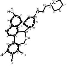 Oc1ccc2c3c(ccc2c1)-c1cc(F)c(F)c(F)c1COC3c1ccc(OCCN2CCCCC2)cc1